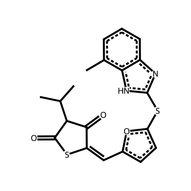 Cc1cccc2nc(Sc3ccc(C=C4SC(=O)C(C(C)C)C4=O)o3)[nH]c12